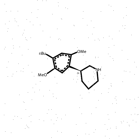 CCCCc1cc(OC)c([C@@H]2CCCNC2)cc1OC